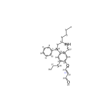 CCCCC1CN(c2ccccc2)c2cc(SCC)c(O/C=C/C=O)cc2SN1